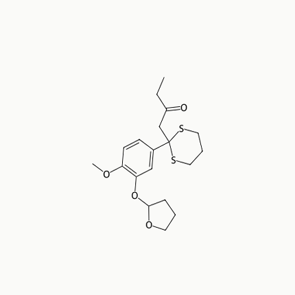 CCC(=O)CC1(c2ccc(OC)c(OC3CCCO3)c2)SCCCS1